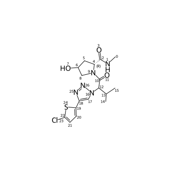 CNC(=O)[C@H]1CC(O)CN1C(=O)C(C(C)C)n1cc(-c2ccc(Cl)s2)nn1